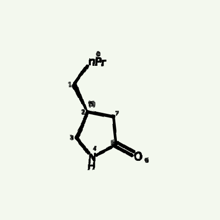 CCCC[C@@H]1CNC(=O)C1